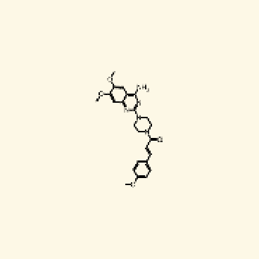 COc1ccc(/C=C/C(=O)N2CCN(c3nc(N)c4cc(OC)c(OC)cc4n3)CC2)cc1